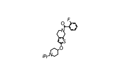 CC(C)N1CCC(Oc2cc3c(s2)CN(C(=O)c2ccccc2F)CC3)CC1